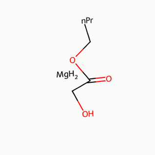 CCCCOC(=O)CO.[MgH2]